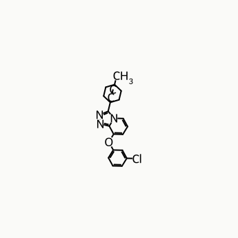 CC12CCC(c3nnc4c(Oc5cccc(Cl)c5)cccn34)(CC1)CC2